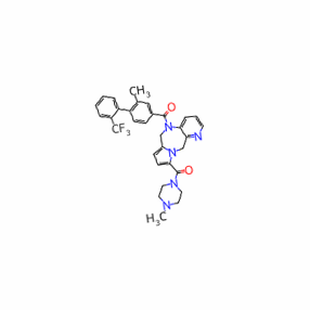 Cc1cc(C(=O)N2Cc3ccc(C(=O)N4CCN(C)CC4)n3Cc3ncccc32)ccc1-c1ccccc1C(F)(F)F